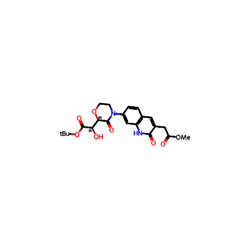 COC(=O)Cc1cc2ccc(N3CCO[C@H]([C@@H](O)C(=O)OC(C)(C)C)C3=O)cc2[nH]c1=O